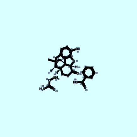 CN1CC[C@]23c4c5ccc(O)c4O[C@H]2C(=O)CC[C@H]3[C@H]1C5.NOC(N)=O.O=C(O)c1ccccc1